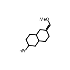 CCCC1CCC2C/C(=C\OC)CCC2C1